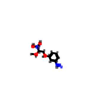 COC(COc1cccc(N)c1)[N+](=O)[O-]